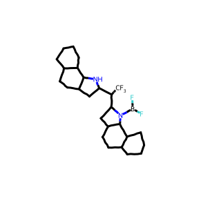 FB(F)N1C(C(C2CC3CCC4CCCCC4C3N2)C(F)(F)F)CC2CCC3CCCCC3C21